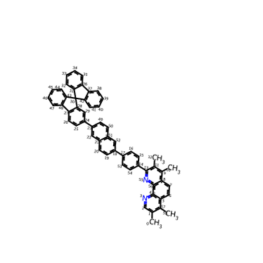 Cc1cnc2c(ccc3c(C)c(C)c(-c4ccc(-c5ccc6cc(-c7ccc8c(c7)C7(c9ccccc9-c9ccccc97)c7ccccc7-8)ccc6c5)cc4)nc32)c1C